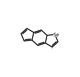 [C]1=C[Se]C2C=C3C=CC=C3C=C12